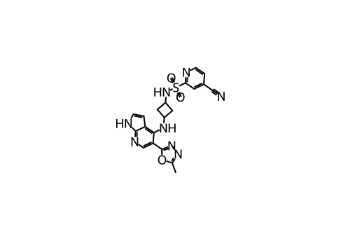 Cc1nnc(-c2cnc3[nH]ccc3c2NC2CC(NS(=O)(=O)c3cc(C#N)ccn3)C2)o1